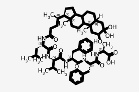 CC(C)C[C@H](NC(=O)CC[C@@H](C)[C@H]1CCC2C3CC[C@@H]4CC(O)(O)C(O)C[C@]4(C)C3CC[C@@]21C)C(=O)N[C@H](C(=O)N[C@@H](Cc1ccccc1)C(=O)N[C@@H](Cc1ccccc1)C(=O)N[C@@H](C)C(=O)O)C(C)C